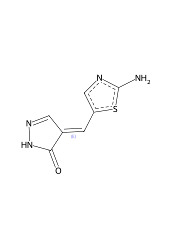 Nc1ncc(/C=C2\C=NNC2=O)s1